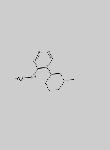 CC1CCCC(c2ccncc2NC(=O)O)C1